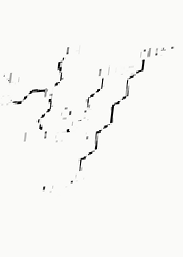 CCCCCCCCCCCCCCCCCCOS(=O)(=O)O.CCCCCCCCCCCCOS(=O)(=O)[O-].OCCN(CCO)CCO.[Na+]